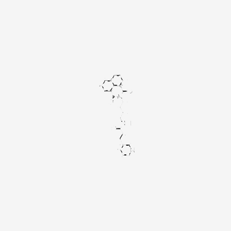 O=C(C=Cc1cccnc1)NCCCCN1C(=O)c2cccc3cccc(c23)C1=O